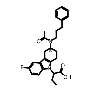 CCC(C(=O)O)n1c2c(c3cc(F)ccc31)C[C@@H](N(CCCc1ccccc1)C(C)=O)CC2